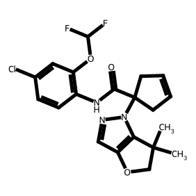 CC1(C)COc2cnn(C3(C(=O)Nc4ccc(Cl)cc4OC(F)F)CC=CC3)c21